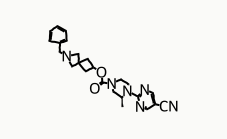 C[C@H]1CN(C(=O)OC2CC3(C2)CN(Cc2ccccc2)C3)CCN1c1ncc(C#N)cn1